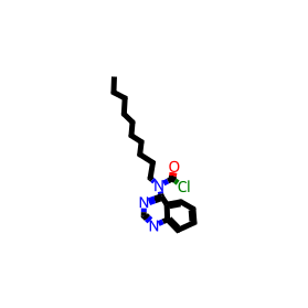 CCCCCCCCCCN(C(=O)Cl)c1ncnc2ccccc12